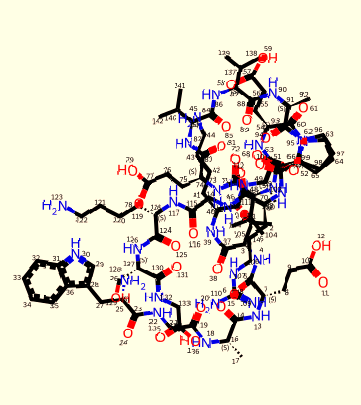 CC(C)[C@H](NC(=O)[C@H](CCC(=O)O)NC(=O)[C@H](C)NC(=O)CNC(=O)[C@@H](N)Cc1c[nH]c2ccccc12)C(=O)N[C@@H](CCCCN)C(=O)N[C@@H](C)C(=O)N[C@@H](CCC(=O)O)C(=O)N1CCC[C@H]1C(=O)N[C@H](C(=O)N[C@@H](CCC(=O)O)C(=O)N[C@H](C(=O)N[C@H](C(=O)N[C@@H](C)C(=O)N1CCC[C@H]1C(=O)N[C@@H](CCCNC(=N)N)C(=O)NCC(=O)N[C@@H](CCCCN)C(=O)N[C@@H](CO)C(=O)NCC(=O)O)C(C)C)C(C)C)C(C)C